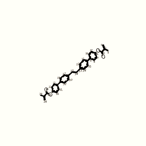 C=C(C)C(=O)Oc1ccc(-c2ccc(CCc3ccc(-c4ccc(OC(=O)C(=C)C)cc4)cc3)cc2)cc1